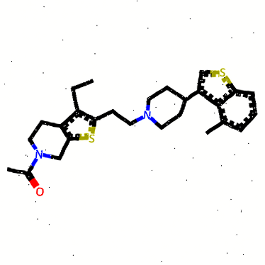 CCc1c(CCN2CCC(c3csc4cccc(C)c34)CC2)sc2c1CCN(C(C)=O)C2